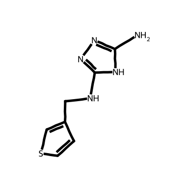 Nc1nnc(NCc2ccsc2)[nH]1